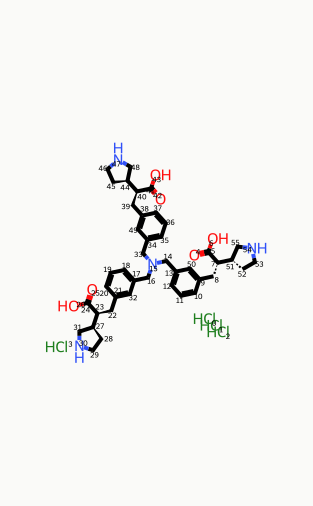 Cl.Cl.Cl.Cl.O=C(O)[C@@H](Cc1cccc(CN(Cc2cccc(C[C@H](C(=O)O)[C@H]3CCNC3)c2)Cc2cccc(C[C@H](C(=O)O)[C@H]3CCNC3)c2)c1)[C@H]1CCNC1